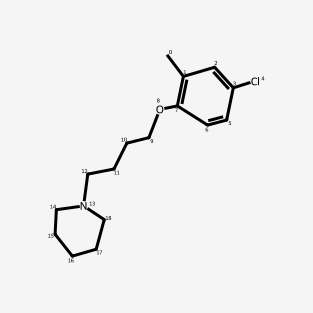 Cc1cc(Cl)ccc1OCCCCN1CCCCC1